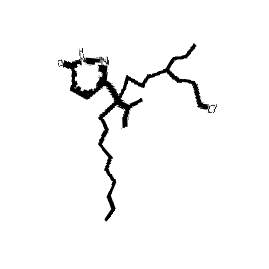 CCCCCCCCCC(CCCC(CCC)CCCCl)(c1ccc(=O)[nH]n1)C(C)C